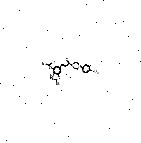 CCC(CC)Oc1cc(C=CC(=O)N2CCN(c3ccc([N+](=O)[O-])cc3)CC2)cc(OC(CC)CC)c1O